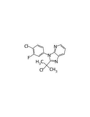 CC(C)(Cl)c1nc2cccnc2n1-c1ccc(Cl)c(F)c1